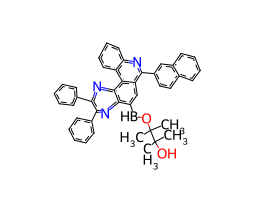 CC(C)(O)C(C)(C)OBc1cc2c(-c3ccc4ccccc4c3)nc3ccccc3c2c2nc(-c3ccccc3)c(-c3ccccc3)nc12